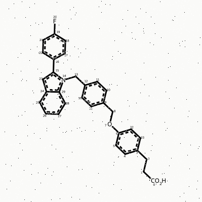 O=C(O)CCc1ccc(OCc2ccc(Cn3c(-c4ccc(F)cc4)cc4ccccc43)cc2)cc1